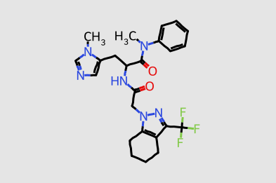 CN(C(=O)C(Cc1cncn1C)NC(=O)Cn1nc(C(F)(F)F)c2c1CCCC2)c1ccccc1